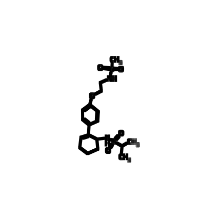 CC(C)S(=O)(=O)NC1CCCC=C1c1ccc(OCCNS(C)(=O)=O)cc1